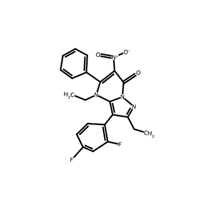 CCc1nn2c(=O)c([N+](=O)[O-])c(-c3ccccc3)n(CC)c2c1-c1ccc(F)cc1F